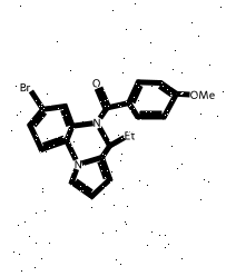 CCC1c2cccn2-c2ccc(Br)cc2N1C(=O)c1ccc(OC)cc1